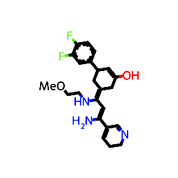 COCCNC(/C=C(\N)C1=CCCN=C1)=C1/CC(O)=CC(c2ccc(F)c(F)c2)C1